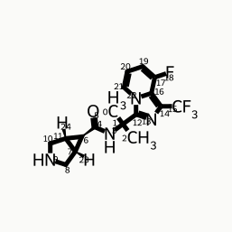 CC(C)(NC(=O)[C@H]1[C@@H]2CNC[C@@H]21)c1nc(C(F)(F)F)c2c(F)cccn12